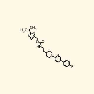 CC(C)c1noc(COC(=O)NCCC2CCN(c3ccc(-c4ccc(F)cc4)cn3)CC2)n1